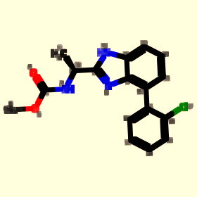 C[C@H](NC(=O)OC(C)(C)C)c1nc2c(-c3ccccc3Cl)cccc2[nH]1